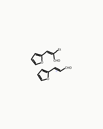 CCC(C=O)=Cc1ccco1.O=C/C=C/c1ccco1